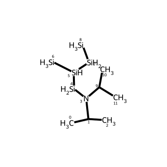 CC(C)N([SiH2][SiH]([SiH3])[SiH2][SiH3])C(C)C